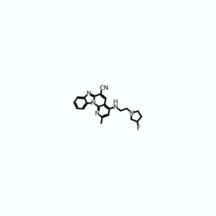 Cc1cc(NCCN2CCC(F)C2)c2cc(C#N)c3nc4ccccc4n3c2n1